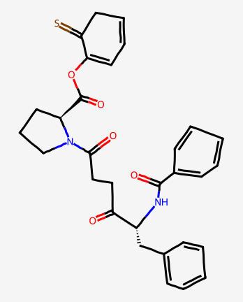 O=C(N[C@H](Cc1ccccc1)C(=O)CCC(=O)N1CCC[C@H]1C(=O)OC1=CC=CCC1=S)c1ccccc1